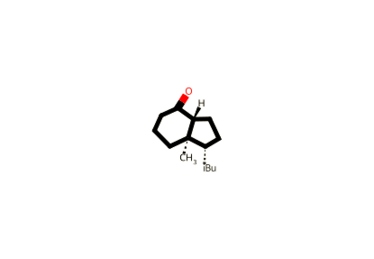 CCC(C)[C@H]1CC[C@H]2C(=O)CCC[C@]12C